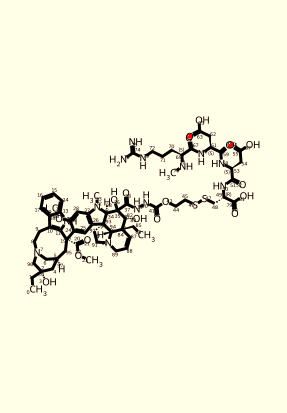 CC[C@]1(O)C[C@H]2CN(CCc3c([nH]c4ccccc34)[C@@](C(=O)OC)(c3cc4c(cc3OC)N(C)[C@H]3C(O)(C(=O)NNC(=O)OCCSSC[C@H](NC(=O)[C@H](CC(=O)O)NC(=O)[C@H](CC(=O)O)NC(=O)[C@H](CCCNC(=N)N)NC)C(=O)O)[C@H](O)[C@]5(CC)C=CCN6CC[C@]43[C@@H]65)C2)C1